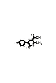 Nc1nc(Cl)c(-c2ccc(Cl)cc2)cc1C(=O)O